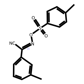 Cc1ccc(S(=O)(=O)O/N=C(\C#N)c2cccc(C)c2)cc1